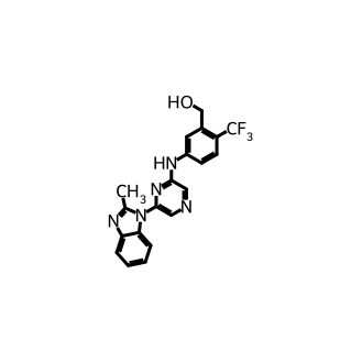 Cc1nc2ccccc2n1-c1cncc(Nc2ccc(C(F)(F)F)c(CO)c2)n1